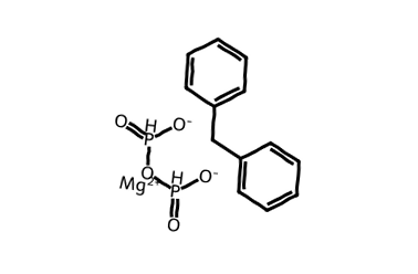 O=[PH]([O-])O[PH](=O)[O-].[Mg+2].c1ccc(Cc2ccccc2)cc1